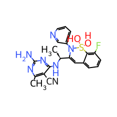 Cc1nc(N)nc(N[C@@H](C)C2=Cc3cccc(F)c3S(O)(O)N2c2cccnc2)c1C#N